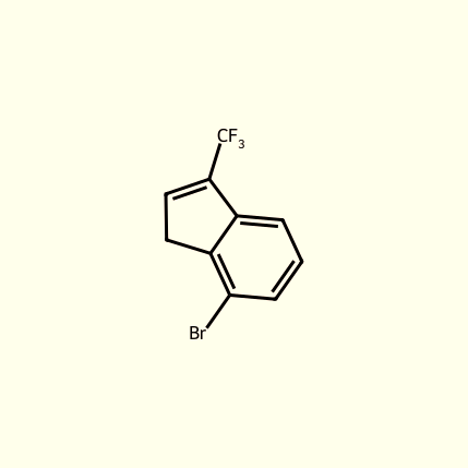 FC(F)(F)C1=CCc2c(Br)cccc21